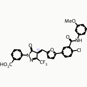 COc1cccc(NC(=O)c2cc(-c3ccc(/C=C4/C(=O)N(c5cccc(C(=O)O)c5)N=C4C(F)(F)F)o3)ccc2Cl)c1